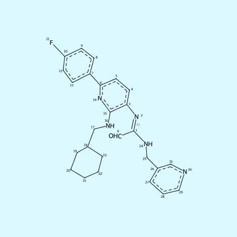 O=C/C(=N\c1ccc(-c2ccc(F)cc2)nc1NCC1CCCCC1)NCc1cccnc1